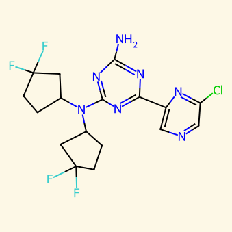 Nc1nc(-c2cncc(Cl)n2)nc(N(C2CCC(F)(F)C2)C2CCC(F)(F)C2)n1